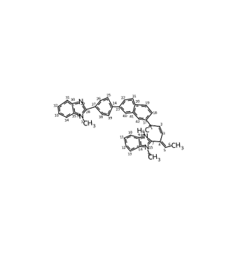 C=C(/C=C\C(=C/C)c1nc2ccccc2n1C)c1ccc2ccc(-c3ccc(-c4nc5ccccc5n4C)cc3)cc2c1